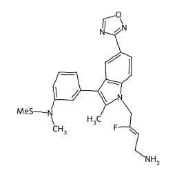 CSN(C)c1cccc(-c2c(C)n(C/C(F)=C/CN)c3ccc(-c4ncon4)cc23)c1